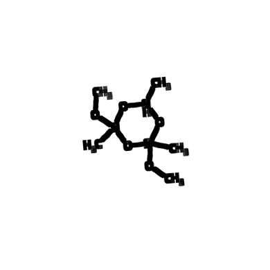 CO[Si]1(C)O[SiH](C)O[Si](C)(OC)O1